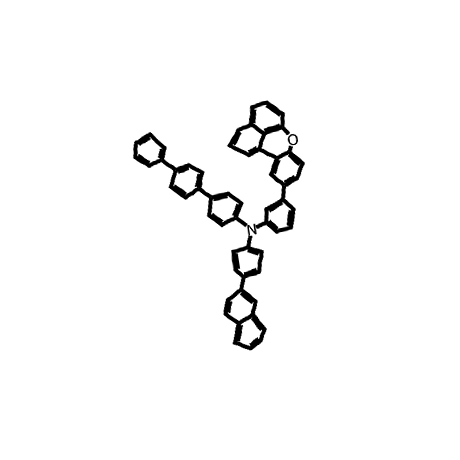 c1ccc(-c2ccc(-c3ccc(N(c4ccc(-c5ccc6ccccc6c5)cc4)c4cccc(-c5ccc6c(c5)-c5cccc7cccc(c57)O6)c4)cc3)cc2)cc1